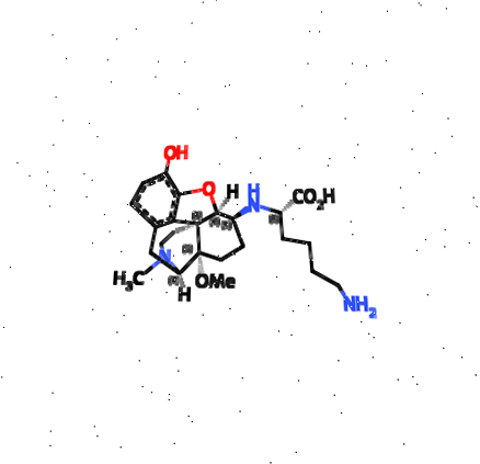 CO[C@@]12CC[C@H](N[C@@H](CCCCN)C(=O)O)[C@@H]3Oc4c(O)ccc5c4[C@@]31CCN(C)[C@@H]2C5